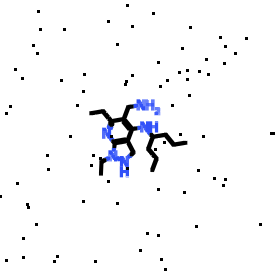 CCCC(CCC)Nc1c(CN)c(CC)nc2c1CNN2CC